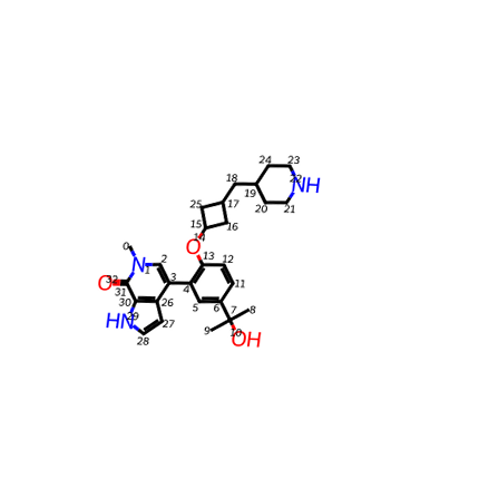 Cn1cc(-c2cc(C(C)(C)O)ccc2OC2CC(CC3CCNCC3)C2)c2cc[nH]c2c1=O